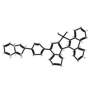 CC1(C)c2cc(-c3ccc(-c4cn5cccnc5n4)cc3)c3ccccc3c2-c2c1c1ccccc1c1ccccc21